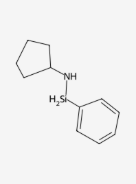 c1ccc([SiH2]NC2CCCC2)cc1